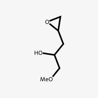 COCC(O)CC1CO1